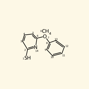 C.Sc1cccc(Oc2ccccc2)n1